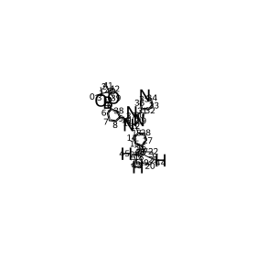 CC1(C)OB(c2cccc(-c3nc(-c4ccc(C56C[C@H]7C[C@@H](C5)C[C@@H](C6)C7)cc4)nc(-c4cccnc4)n3)c2)OC1(C)C